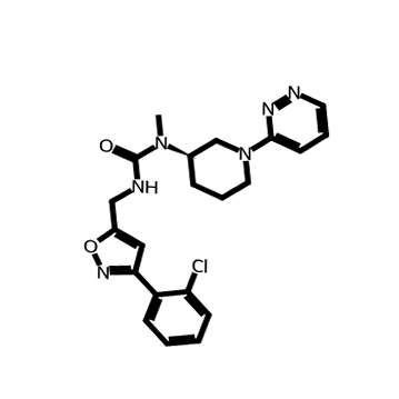 CN(C(=O)NCc1cc(-c2ccccc2Cl)no1)[C@@H]1CCCN(c2cccnn2)C1